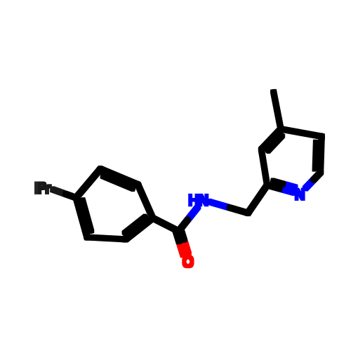 Cc1ccnc(CNC(=O)c2ccc(C(C)C)cc2)c1